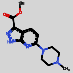 CN1CCN(c2ccc3c(C(=O)OC(C)(C)C)n[nH]c3n2)CC1